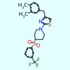 Cc1ccc(Cc2csc(N3CCC(S(=O)(=O)c4cccc(C(F)(F)F)c4)CC3)n2)cc1C